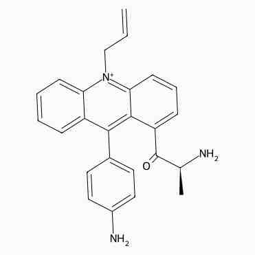 C=CC[n+]1c2ccccc2c(-c2ccc(N)cc2)c2c(C(=O)[C@H](C)N)cccc21